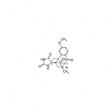 COc1ccc2c(c1)C13CCN(C)[C@H](C2=O)[C@]1(O)CC[C@@]1(C3)NC(=O)NC1=O